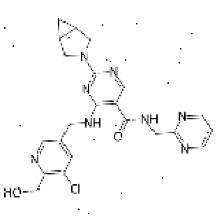 O=C(NCc1ncccn1)c1cnc(N2CC3CC3C2)nc1NCc1cnc(CO)c(Cl)c1